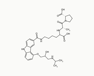 CC(C)NCC(O)COc1cccc2[nH]c3ccc(C(=O)NCCCCC(N[C@@H](C)C(=O)N4CCC[C@H]4C(=O)O)C(=O)O)cc3c12